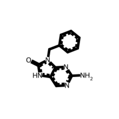 Nc1ncc2[nH]c(=O)n(Cc3ccccc3)c2n1